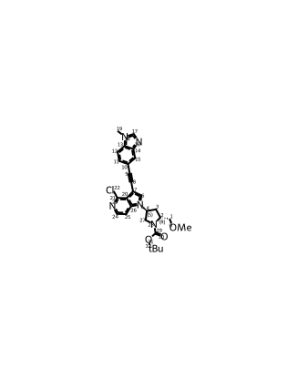 COC[C@H]1C[C@H](n2cc(C#Cc3ccc4c(c3)ncn4C)c3c(Cl)nccc32)CN1C(=O)OC(C)(C)C